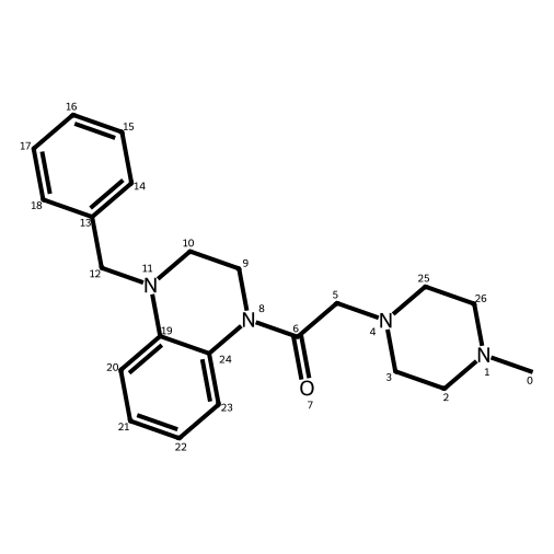 CN1CCN(CC(=O)N2CCN(Cc3ccccc3)c3ccccc32)CC1